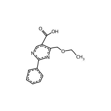 CCOCc1nc(-c2ccccc2)ncc1C(=O)O